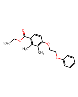 CCCCCCCCCCCOC(=O)c1ccc(OCCOc2ccccc2)c(C)c1C